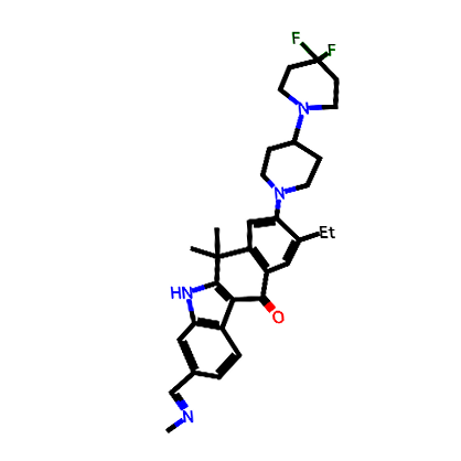 CCc1cc2c(cc1N1CCC(N3CCC(F)(F)CC3)CC1)C(C)(C)c1[nH]c3cc(/C=N/C)ccc3c1C2=O